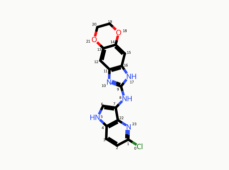 Clc1ccc2[nH]cc(Nc3nc4cc5c(cc4[nH]3)OCCO5)c2n1